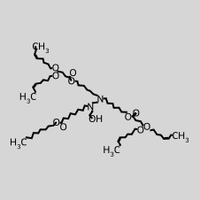 CC/C=C\CCCCOC(CCC(=O)OCCCCCCCN(CCCCCCCOC(=O)CCC(OCCCC/C=C\CC)OCCCC/C=C\CC)CCN(CCO)CCCCCCCC(=O)OCCCCCCCCC)OCCCC/C=C\CC